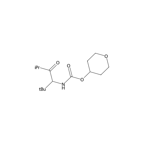 CC(C)C(=O)C(NC(=O)OC1CCOCC1)C(C)(C)C